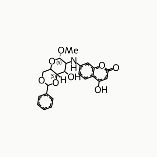 CO[C@H]1OC2COC(c3ccccc3)O[C@H]2C(O)C1Nc1ccc2c(O)cc(=O)oc2c1